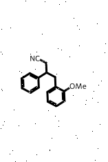 COc1ccccc1CC(CC#N)c1ccccc1